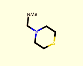 CN[CH]N1CCSCC1